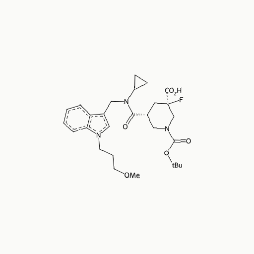 COCCCn1cc(CN(C(=O)[C@H]2CN(C(=O)OC(C)(C)C)C[C@@](F)(C(=O)O)C2)C2CC2)c2ccccc21